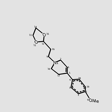 COc1ccc(C2=CCN(CCC3OCCO3)CC2)cc1